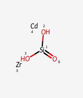 O=[Si](O)O.[Cd].[Zr]